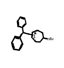 CCCCC1CC2CCC(C1)CN(C(c1ccccc1)c1ccccc1)C2